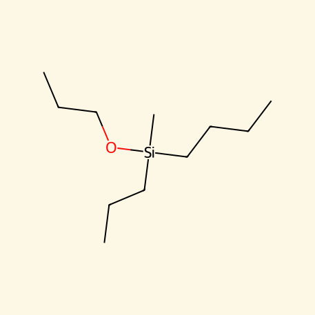 CCCC[Si](C)(CCC)OCCC